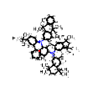 Cc1cc2c3c(c1)N(c1ccc(C(C)(C)C)cc1-c1ccccc1)c1cc4c(cc1B3c1cc3c(cc1N2c1cc2c(cc1C)C(C)(C)CCC2(C)C)C(C)(C)CC3(C)C)C(C)(C)c1ccccc1C4(C)C